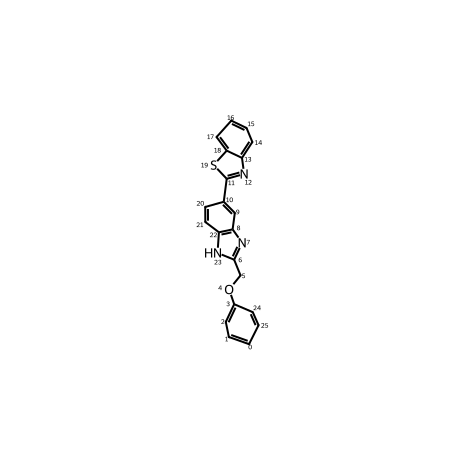 c1ccc(OCc2nc3cc(-c4nc5ccccc5s4)ccc3[nH]2)cc1